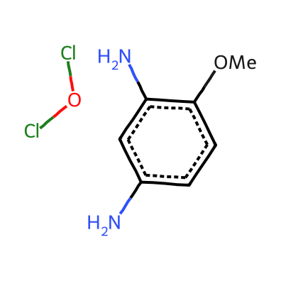 COc1ccc(N)cc1N.ClOCl